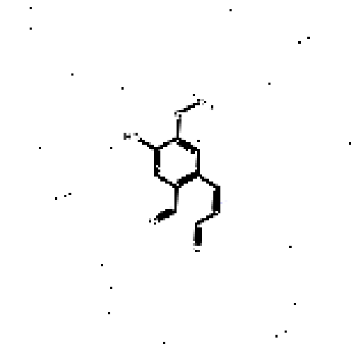 COc1cc(/C=C\C=O)c(C=O)cc1O